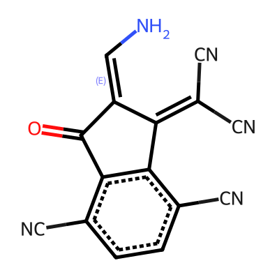 N#CC(C#N)=C1/C(=C\N)C(=O)c2c(C#N)ccc(C#N)c21